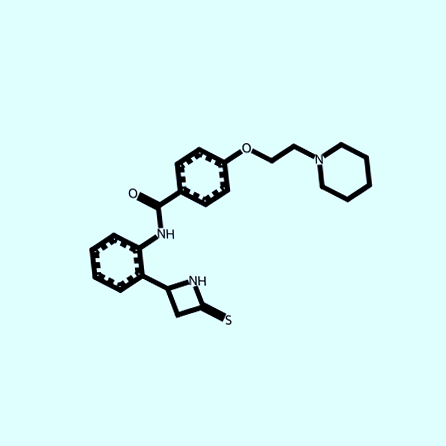 O=C(Nc1ccccc1C1CC(=S)N1)c1ccc(OCCN2CCCCC2)cc1